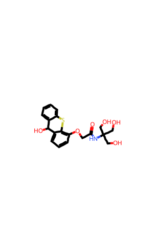 O=C(COc1cccc2c1Sc1ccccc1C2O)NC(CO)(CO)CO